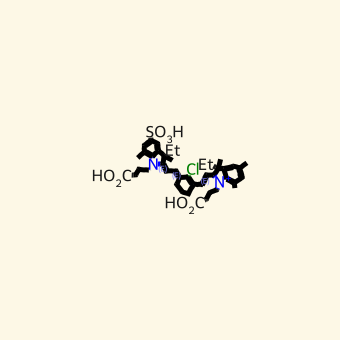 CCC1(C)C(/C=C/C2=C(Cl)C(=C/C=C3/N(CCCC(=O)O)c4c(C)cc(S(=O)(=O)O)cc4C3(C)CC)/CCC2)=[N+](CCCC(=O)O)c2c(C)cc(C)cc21